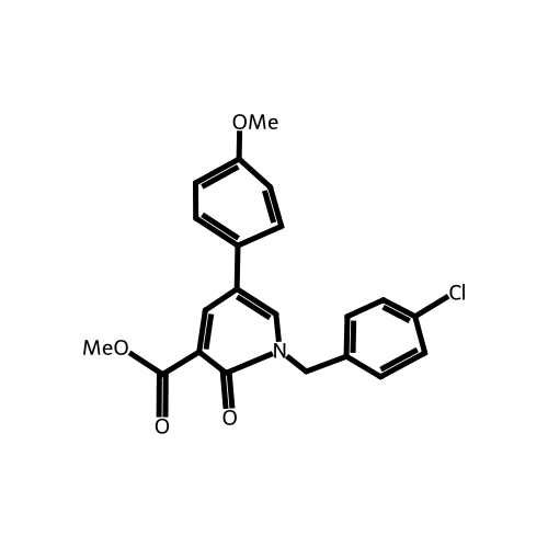 COC(=O)c1cc(-c2ccc(OC)cc2)cn(Cc2ccc(Cl)cc2)c1=O